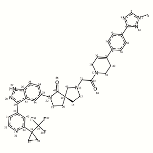 Cn1cnc(-c2ccc(C3=CCN(C(=O)CN4CC[C@]5(CCN(c6ccc7[nH]nc(-c8ccnc(C9(C(F)(F)F)CC9)c8)c7c6)C5=O)C4)CC3)cc2)n1